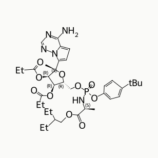 CCC(=O)O[C@H]1[C@@H](OC(=O)CC)[C@](C)(c2ccc3c(N)ncnn23)O[C@@H]1COP(=O)(N[C@@H](C)C(=O)OCC(CC)CC)Oc1ccc(C(C)(C)C)cc1